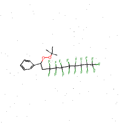 CC(C)(C)OOC(CC(F)(F)C(F)(F)C(F)(F)C(F)(F)C(F)(F)C(F)(F)C(F)(F)C(F)(F)F)c1ccccc1